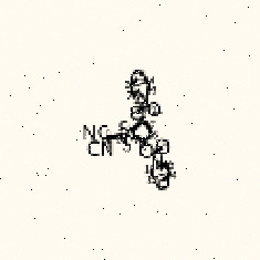 N#CC(C#N)=C1Sc2c(OC(=O)N3CCOCC3)ccc(OC(=O)N3CCOCC3)c2S1